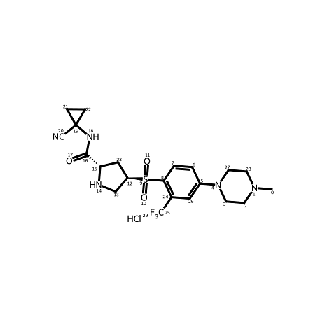 CN1CCN(c2ccc(S(=O)(=O)[C@H]3CN[C@H](C(=O)NC4(C#N)CC4)C3)c(C(F)(F)F)c2)CC1.Cl